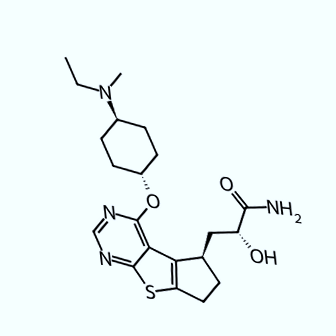 CCN(C)[C@H]1CC[C@H](Oc2ncnc3sc4c(c23)[C@@H](C[C@@H](O)C(N)=O)CC4)CC1